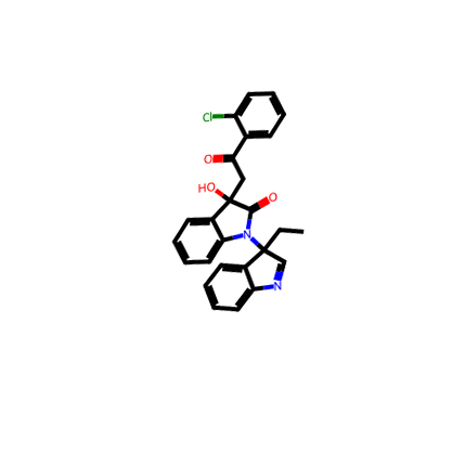 CCC1(N2C(=O)C(O)(CC(=O)c3ccccc3Cl)c3ccccc32)C=Nc2ccccc21